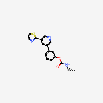 CCCCCCCCNC(=O)Oc1cccc(-c2cncc(-c3nccs3)c2)c1